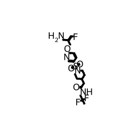 CC(F)(F)CNC(=O)CC1CCN(S(=O)(=O)c2ccc(OC/C(=C\F)CN)nc2)CC1